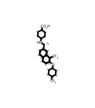 C[C@@H](NC1CCC(C(=O)O)CC1)c1ccc2ccc(OC3CCC(C(F)(F)F)CC3)c(C(F)(F)F)c2c1